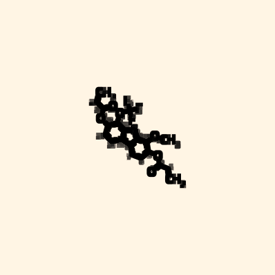 C=CC(=O)Oc1ccc2c(sc3c(OC(F)(F)F)c(OC(=O)C=C)ccc32)c1OC